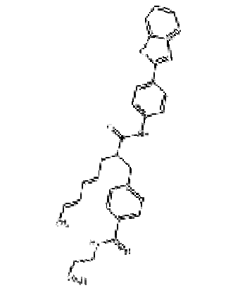 C/C=C/C=C/CC(Cc1ccc(C(=O)NCCS(=O)(=O)O)cc1)C(=O)Nc1ccc(-c2cc3ccccc3o2)cc1